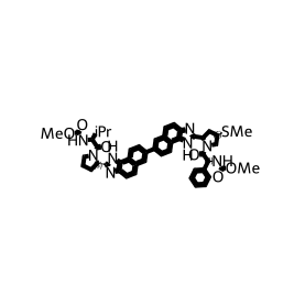 COC(=O)NC(C(=O)N1CCC[C@H]1c1nc2ccc3cc(-c4ccc5c(ccc6nc(C7C[C@H](SC)CN7C(=O)[C@H](NC(=O)OC)c7ccccc7)[nH]c65)c4)ccc3c2[nH]1)C(C)C